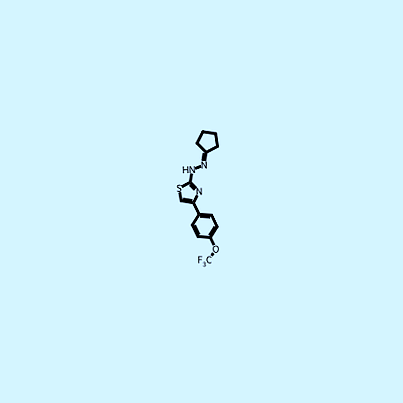 FC(F)(F)Oc1ccc(-c2csc(NN=C3CCCC3)n2)cc1